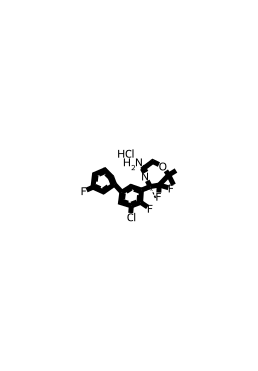 CC1(C)OCC(N)=N[C@](C)(c2cc(-c3cccc(F)c3)cc(Cl)c2F)C1(F)F.Cl